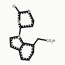 O=C(O)Cc1cccc2ccn(-c3ccnc(Cl)n3)c12